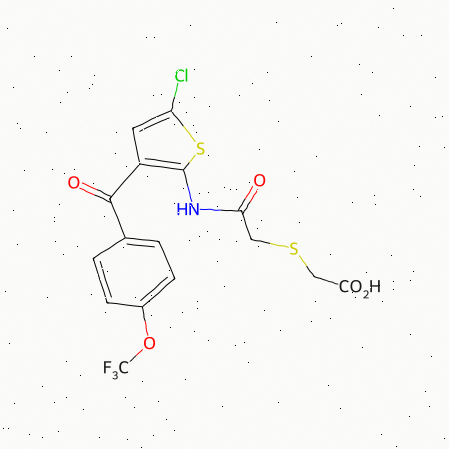 O=C(O)CSCC(=O)Nc1sc(Cl)cc1C(=O)c1ccc(OC(F)(F)F)cc1